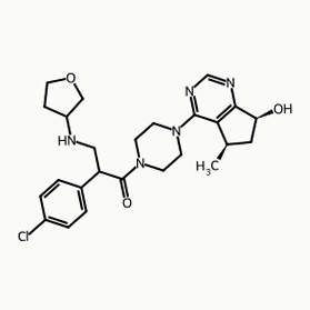 C[C@@H]1C[C@H](O)c2ncnc(N3CCN(C(=O)C(CNC4CCOC4)c4ccc(Cl)cc4)CC3)c21